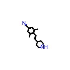 Cc1cc(C#N)cc(C)c1/C=C/C1CCNCC1